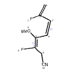 C=C(F)/C=C\C(OC)=C(\F)CC#N